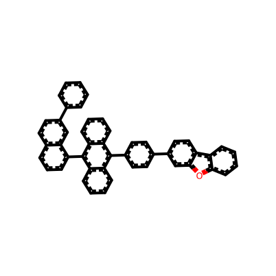 c1ccc(-c2ccc3cccc(-c4c5ccccc5c(-c5ccc(-c6ccc7c(c6)oc6ccccc67)cc5)c5ccccc45)c3c2)cc1